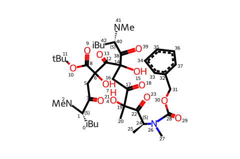 CCC(C)[C@H](NC)C(=O)CC(O)(C(=O)OC(C)(C)C)C(=O)C(O)(CC(=O)C(C)(O)C(=O)[C@H](C)N(C)C(=O)OCc1ccccc1)C(=O)[C@@H](NC)C(C)CC